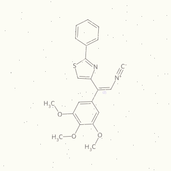 [C-]#[N+]/C=C(/c1cc(OC)c(OC)c(OC)c1)c1csc(-c2ccccc2)n1